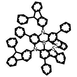 c1ccc(-c2cc3c4c(c2)N(c2ccc5c(c2)C(c2ccccc2)c2ccccc2-5)c2cc(-c5ccccc5)c5c(sc6ccccc65)c2B4c2c(cc(-c4ccccc4)c4c2sc2ccccc24)N3c2ccc3c(c2)C(c2ccccc2)c2ccccc2-3)cc1